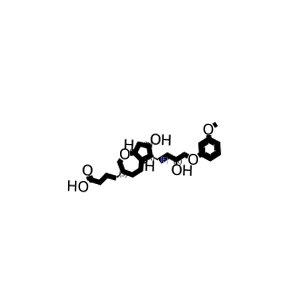 COc1cccc(OC[C@H](O)/C=C/[C@@H]2[C@H]3CC[C@H](CCCC(=O)O)CO[C@H]3C[C@H]2O)c1